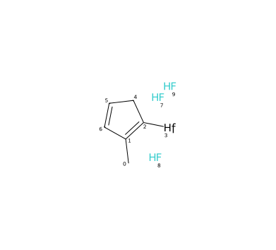 CC1=[C]([Hf])CC=C1.F.F.F